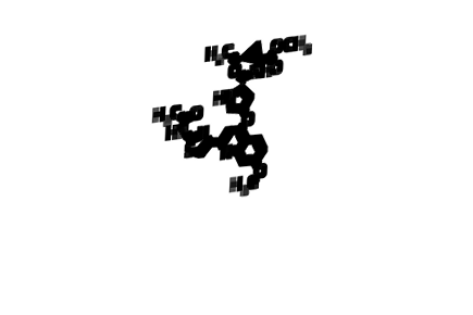 C=C[C@H]1C[C@]1(NC(=O)[C@@H]1CC(Oc2cc(-c3csc(NC(C)=O)n3)nc3cc(OC)ccc23)CN1)C(=O)OC